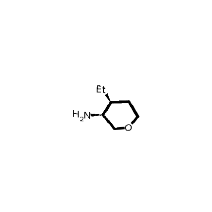 CC[C@H]1CCOC[C@H]1N